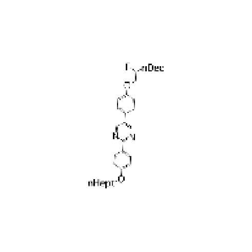 CCCCCCCCCCC(F)COc1ccc(-c2cnc(-c3ccc(OCCCCCCC)cc3)nc2)cc1